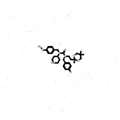 CC(C)Oc1ccc(CN(C(=O)N(CCC2(C)OCC(C)(C)CO2)Cc2ccc(F)cc2)C2CCNCC2)cc1